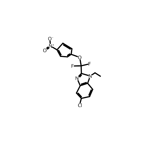 CCn1c(C(F)(F)Oc2ccc([N+](=O)[O-])cc2)nc2cc(Cl)ccc21